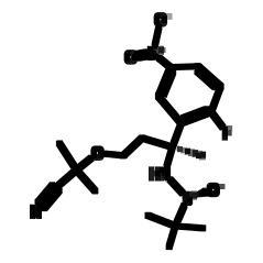 CC(C)(C#N)OCC[C@](C)(N[S@@+]([O-])C(C)(C)C)c1cc([N+](=O)[O-])ccc1F